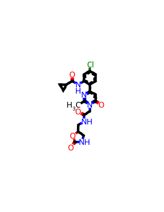 Cc1nc(-c2ccc(Cl)cc2NC(=O)C2CC2)cc(=O)n1CC(=O)NCC1CNC(=O)O1